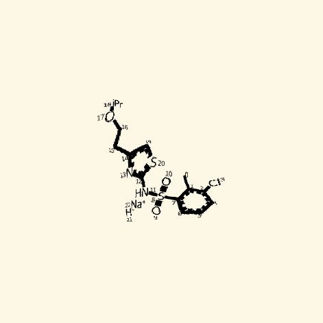 Cc1c(Cl)cccc1S(=O)(=O)Nc1nc(CCOC(C)C)cs1.[H-].[Na+]